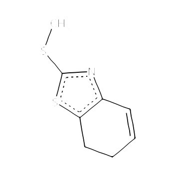 CSc1nc2c(s1)CCC=C2